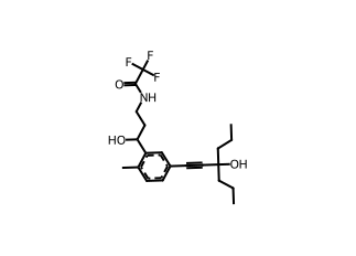 CCCC(O)(C#Cc1ccc(C)c(C(O)CCNC(=O)C(F)(F)F)c1)CCC